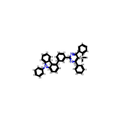 C[Si]1(C)c2ccccc2-c2nc(-c3cccc(-c4cccc5c4c4ccccc4n5-c4ccccc4)c3)nc(-c3ccccc3)c21